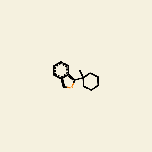 CC1(C2=c3ccccc3=C[P]2)CCCCC1